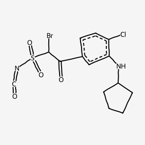 O=C=NS(=O)(=O)C(Br)C(=O)c1ccc(Cl)c(NC2CCCC2)c1